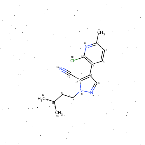 Cc1ccc(-c2cnn(CCC(C)C)c2C#N)c(Cl)n1